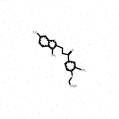 CCOC(=O)COc1ccc(C(=O)CCc2sc3cc(C(F)(F)F)ccc3c2C)cc1C